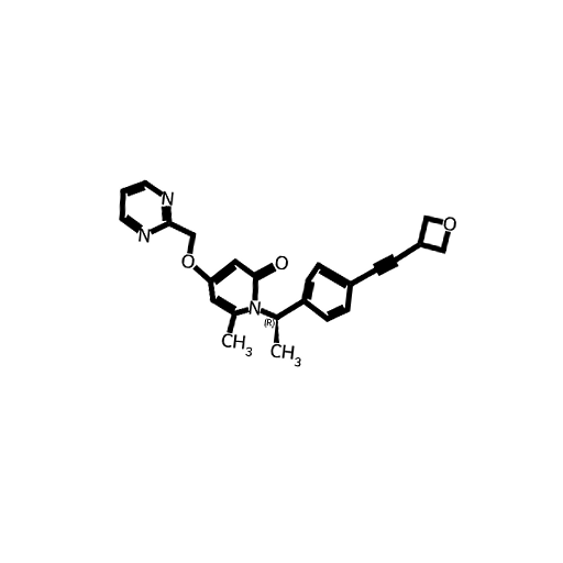 Cc1cc(OCc2ncccn2)cc(=O)n1[C@H](C)c1ccc(C#CC2COC2)cc1